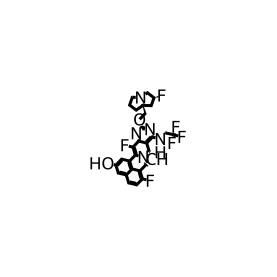 C#Cc1c(F)ccc2cc(O)cc(-c3ncc4c(NCC(F)(F)F)nc(OC[C@@]56CCCN5C[C@H](F)C6)nc4c3F)c12